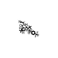 C[C@@H](C#N)NC(=O)[C@@H]1[C@@H]2[C@H](CN1C(=O)[C@@H](NS(=O)(=O)c1ccc(C(F)(F)F)cc1)C(C)(C)C)C2(C)C